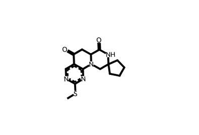 CSc1ncc2c(n1)N1CC3(CCCC3)NC(=O)C1CC2=O